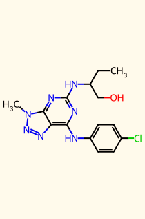 CCC(CO)Nc1nc(Nc2ccc(Cl)cc2)c2nnn(C)c2n1